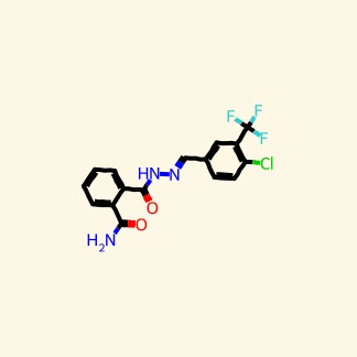 NC(=O)c1ccccc1C(=O)NN=Cc1ccc(Cl)c(C(F)(F)F)c1